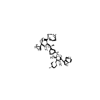 C[C@@H](c1ccc(NC(=O)[C@@H](NC(=O)c2coc3ccncc23)[C@H]2CC[C@H](C)CC2)c(F)c1)[C@@H](NC(=O)c1cnns1)C(=O)N1CCN(C)CC1